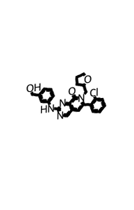 O=c1c2nc(Nc3cccc(CO)c3)ncc2cc(-c2ccccc2Cl)n1CC1CCCO1